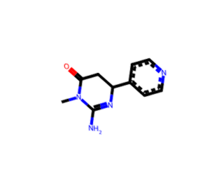 CN1C(=O)CC(c2ccncc2)N=C1N